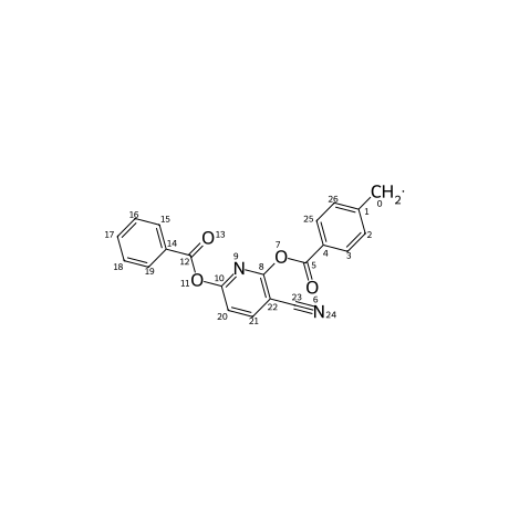 [CH2]c1ccc(C(=O)Oc2nc(OC(=O)c3ccccc3)ccc2C#N)cc1